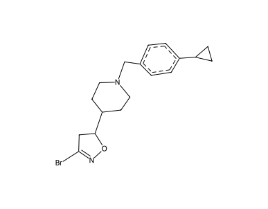 BrC1=NOC(C2CCN(Cc3ccc(C4CC4)cc3)CC2)C1